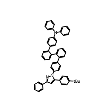 CC(C)(C)c1ccc(-c2cc(-c3ccccc3)nn2-c2ccc(-c3ccccc3-c3ccccc3-c3ccc(N(c4ccccc4)c4ccccc4)cc3)cc2)cc1